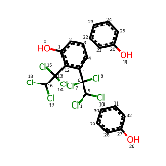 Oc1cccc(C(Cl)(Cl)C(Cl)Cl)c1C(Cl)(Cl)C(Cl)Cl.Oc1ccccc1.Oc1ccccc1